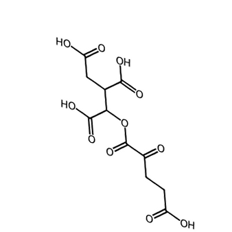 O=C(O)CCC(=O)C(=O)OC(C(=O)O)C(CC(=O)O)C(=O)O